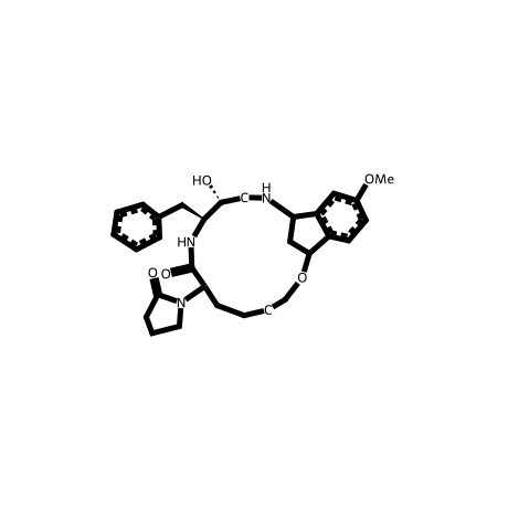 COc1ccc2c(c1)C1CC2OCCCCC(N2CCCC2=O)C(=O)N[C@@H](Cc2ccccc2)[C@H](O)CN1